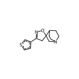 c1cc(C2=NOC3(C2)CN2CCC3CC2)cs1